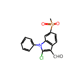 CS(=O)(=O)c1ccc2c(C=O)c(Cl)n(-c3ccccc3)c2c1